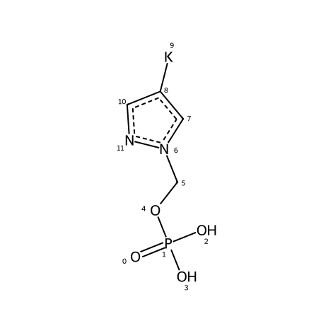 O=P(O)(O)OCn1c[c]([K])cn1